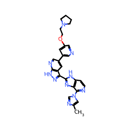 Cc1cn(-c2nccc3[nH]c(-c4n[nH]c5ncc(-c6cncc(OCCN7CCCC7)c6)cc45)nc23)cn1